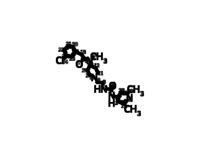 Cc1cc(NC(=O)NCCN2CCC(N(C)C(=O)Cc3cccc(Cl)c3)CC2)cc(C)n1